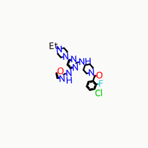 CCN1CCN(c2cc(Nc3ncco3)nc(NC3CCN(C(=O)c4cccc(Cl)c4F)CC3)n2)CC1